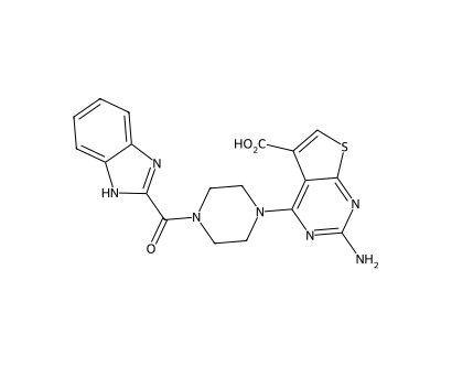 Nc1nc(N2CCN(C(=O)c3nc4ccccc4[nH]3)CC2)c2c(C(=O)O)csc2n1